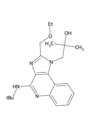 CCOCc1nc2c(NC(C)(C)C)nc3ccccc3c2n1CC(C)(C)O